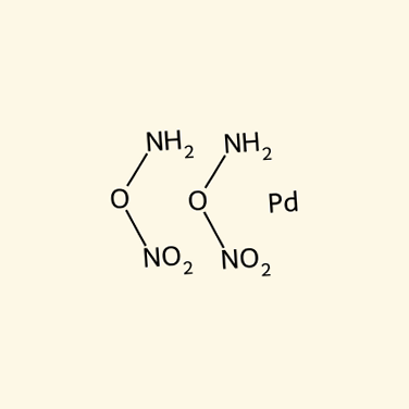 NO[N+](=O)[O-].NO[N+](=O)[O-].[Pd]